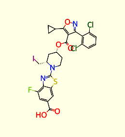 O=C(O)c1cc(F)c2nc(N3CC[C@@H](OC(=O)c4c(-c5c(Cl)cccc5Cl)noc4C4CC4)C[C@H]3CI)sc2c1